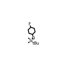 CC(C)(C)[Si](C)(C)OC1CCC(F)CC1